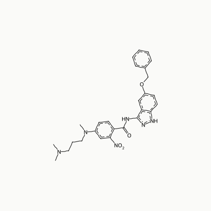 CN(C)CCCN(C)c1ccc(C(=O)Nc2n[nH]c3ccc(OCc4ccccc4)cc23)c([N+](=O)[O-])c1